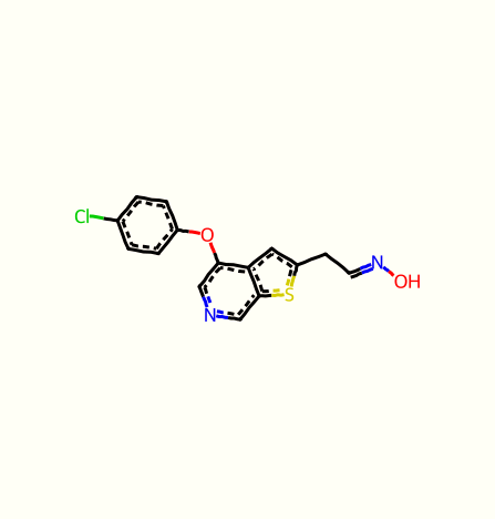 ON=CCc1cc2c(Oc3ccc(Cl)cc3)cncc2s1